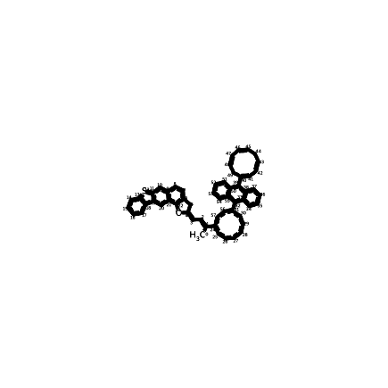 C/C(=C\C=C1/Cc2ccc3cc4sc5ccccc5c4cc3c2O1)c1ccccccc(-c2c3ccccc3c(/C3=C/C=C\C/C=C\C=C/C3)c3ccccc23)cc1